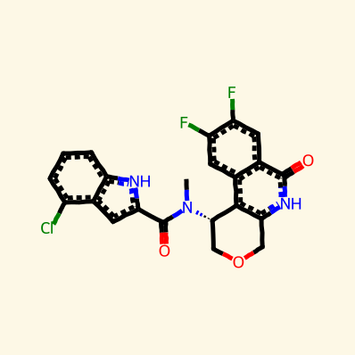 CN(C(=O)c1cc2c(Cl)cccc2[nH]1)[C@H]1COCc2[nH]c(=O)c3cc(F)c(F)cc3c21